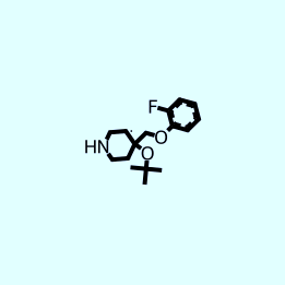 CC(C)(C)OC1(COc2ccccc2F)[CH]CNCC1